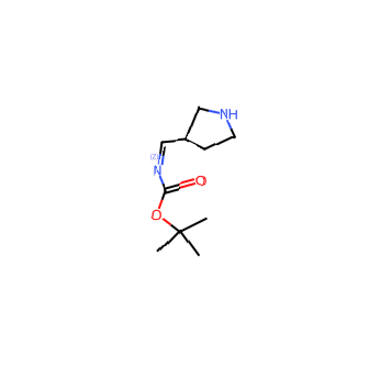 CC(C)(C)OC(=O)/N=C\C1CCNC1